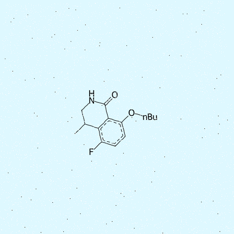 CCCCOc1ccc(F)c2c1C(=O)NCC2C